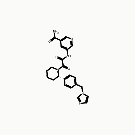 NC(=O)c1cncc(NC(=O)C(=O)N2CCCC[C@H]2c2ccc(Cn3ccnc3)cc2)c1